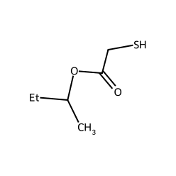 CCC(C)OC(=O)CS